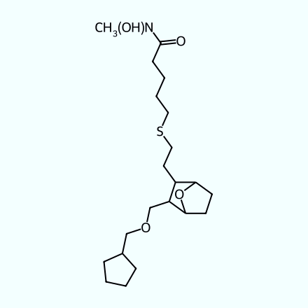 CN(O)C(=O)CCCCSCCC1C2CCC(O2)C1COCC1CCCC1